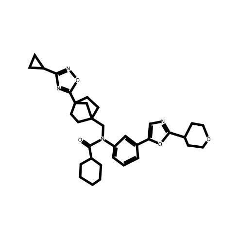 O=C(C1CCCCC1)N(CC12CCC(c3nc(C4CC4)no3)(CC1)C2)c1cccc(-c2cnc(C3CCOCC3)o2)c1